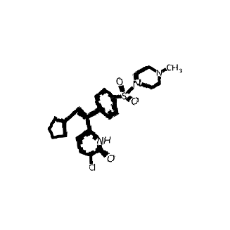 CN1CCN(S(=O)(=O)c2ccc(C(=CC3CCCC3)c3ccc(Cl)c(=O)[nH]3)cc2)CC1